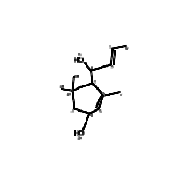 C/C=C/C(O)C1C(C)=CC(O)CC1(C)C